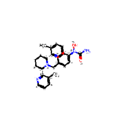 Cc1cccnc1[C@H]1CCC[C@@H](c2ncccc2C)N1Cc1ccc(N(O)C(N)=O)cc1